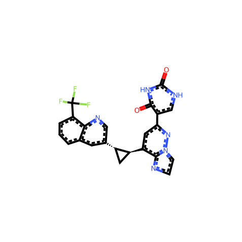 O=c1[nH]cc(-c2cc([C@H]3C[C@@H]3c3cnc4c(C(F)(F)F)cccc4c3)c3nccn3n2)c(=O)[nH]1